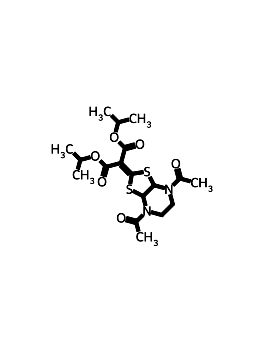 CC(=O)N1CCN(C(C)=O)C2SC(=C(C(=O)OC(C)C)C(=O)OC(C)C)SC21